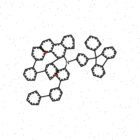 c1ccc(-c2cccc(-c3ccc(N(c4ccc(C5(c6ccccc6)c6ccccc6-c6ccccc65)cc4)c4c(-c5cccc(-c6ccccc6-c6ccccc6)c5)c5ccccc5c5ccccc45)cc3)c2)cc1